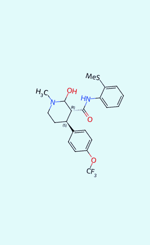 CSc1ccccc1NC(=O)[C@H]1C(O)N(C)CC[C@@H]1c1ccc(OC(F)(F)F)cc1